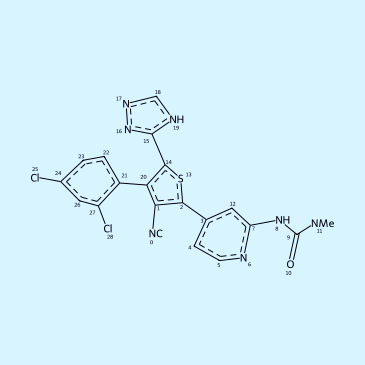 [C-]#[N+]c1c(-c2ccnc(NC(=O)NC)c2)sc(-c2nnc[nH]2)c1-c1ccc(Cl)cc1Cl